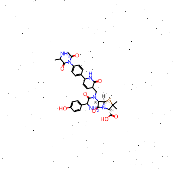 CC(=O)N(C(=O)C(C)N)c1ccc(C2C=CC(CN(C(=O)C(N)c3ccc(O)cc3)[C@@H]3C(=O)N4[C@@H]3SC(C)(C)[C@@H]4C(=O)O)C(=O)N2)cc1